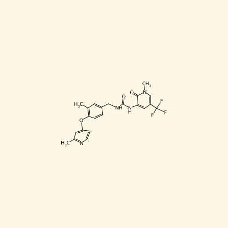 Cc1cc(Oc2ccc(CNC(=O)Nc3cc(C(F)(F)F)cn(C)c3=O)cc2C)ccn1